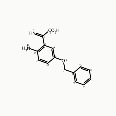 N=C(C(=O)O)c1cc(OCc2ccccc2)ccc1N